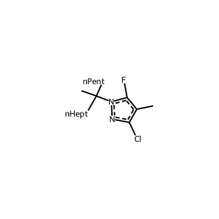 CCCCCCCC(C)(CCCCC)n1nc(Cl)c(C)c1F